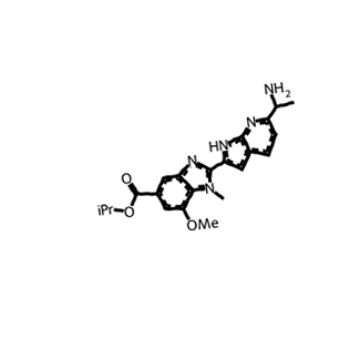 COc1cc(C(=O)OC(C)C)cc2nc(-c3cc4ccc(C(C)N)nc4[nH]3)n(C)c12